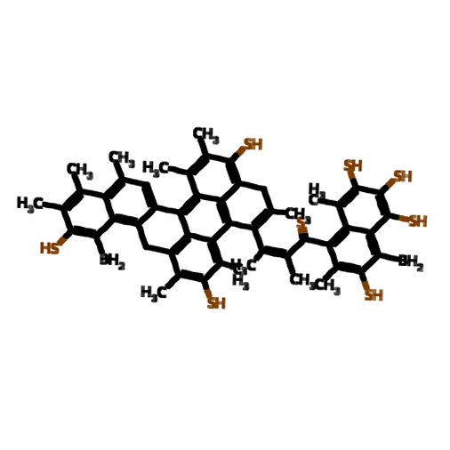 Bc1c(S)c(C)c(C(=S)/C(C)=C(/C)C2=C(C)Cc3c(S)c(C)c(C)c4c5c6c(c(C)c(S)c(C)c6c2c34)Cc2c-5cc(C)c3c(C)c(C)c(S)c(B)c23)c2c(C)c(S)c(S)c(S)c12